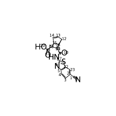 N#Cc1ccc2nc(NC(=O)[C@]34C5C=CC(C53)[C@@H]4C(=O)O)sc2c1